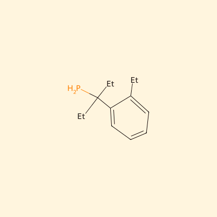 CCc1ccccc1C(P)(CC)CC